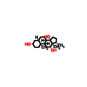 C[C@H]1CC[C@]2(O)[C@@H]3CC[C@@H]4C[C@@H](O)CC[C@]4(C)[C@H]3C[C@@H](O)[C@]12C